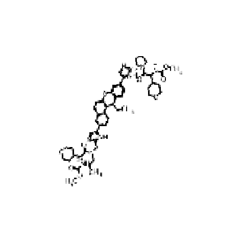 CCCN(Cc1ncc(-c2ccc3c4c(ccc3c2)Oc2cc(-c3cnc([C@@H]5CCCN5C(=O)C(NC(=O)OC)C5CCOCC5)[nH]3)ccc2C4CC)[nH]1)C(=O)[C@@H](NC(=O)OC)C1CCOCC1